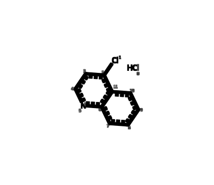 Cl.Clc1ccnc2ccccc12